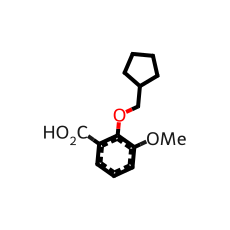 COc1cccc(C(=O)O)c1OCC1CCCC1